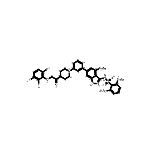 COc1cccc(OC)c1S(=O)(=O)Nc1noc2cc(-c3cccc(N4CCC(C(=O)COc5c(F)ccc(F)c5F)CC4)c3)cc(OC)c12